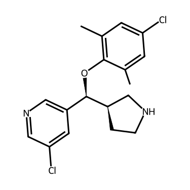 Cc1cc(Cl)cc(C)c1O[C@H](c1cncc(Cl)c1)[C@@H]1CCNC1